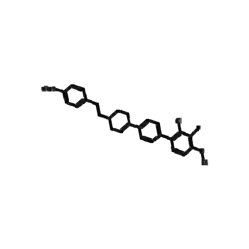 CCCCCc1ccc(CCC2CC=C(c3ccc(-c4ccc(OCC)c(F)c4Cl)cc3)CC2)cc1